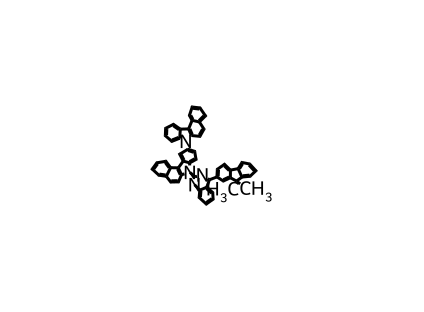 CC1(C)c2ccccc2-c2ccc(-c3nc(-n4c5ccc(-n6c7ccccc7c7c8ccccc8ccc76)cc5c5c6ccccc6ccc54)nc4ccccc34)cc21